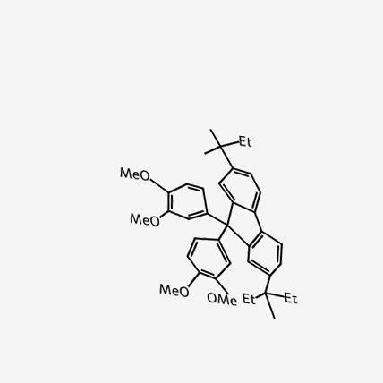 CCC(C)(C)c1ccc2c(c1)C(c1ccc(OC)c(OC)c1)(c1ccc(OC)c(OC)c1)c1cc(C(C)(CC)CC)ccc1-2